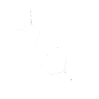 CC(=O)COC1CCN(C(C)(C)C)CC1